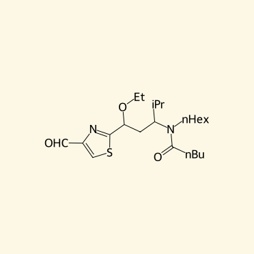 CCCCCCN(C(=O)CCCC)C(CC(OCC)c1nc(C=O)cs1)C(C)C